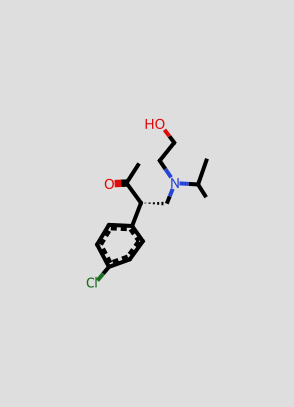 CC(=O)[C@H](CN(CCO)C(C)C)c1ccc(Cl)cc1